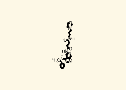 CC(Nc1ncnc2cnc(NC(=O)C=CC(=O)NCCCCn3ccnc3)cc12)c1ccccc1